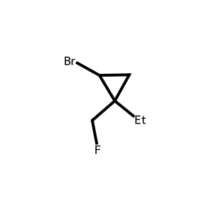 CCC1(CF)CC1Br